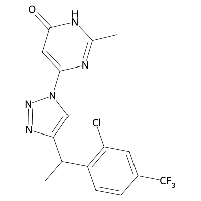 Cc1nc(-n2cc(C(C)c3ccc(C(F)(F)F)cc3Cl)nn2)cc(=O)[nH]1